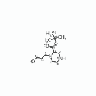 CC(C)(C)OC(=O)C1CNCCN1CCC[O]